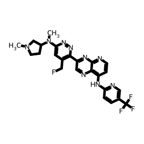 CN1CCC(N(C)c2cc(CF)c(-c3cnc4c(Nc5ccc(C(F)(F)F)cn5)ccnc4n3)nn2)C1